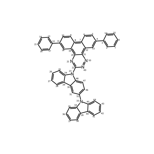 c1ccc(-c2ccc3c4ccc(-c5ccccc5)cc4c4nc(-n5c6ccccc6c6cc(-n7c8ccccc8c8ccccc87)ccc65)nnc4c3c2)cc1